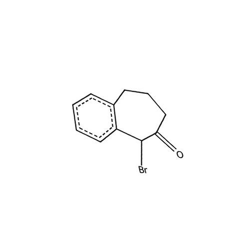 O=C1CCCc2ccccc2C1Br